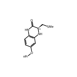 CCCOc1ccc2c(c1)N[C@H](CSC)C(=O)N2